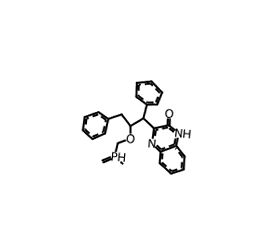 C=[PH](C)COC(Cc1ccccc1)C(c1ccccc1)c1nc2ccccc2[nH]c1=O